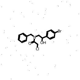 O=C(CCl)N(Cc1ccccc1)CC(O)c1ccc(Br)cc1